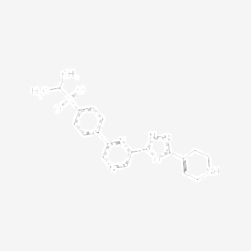 CC(C)S(=O)(=O)c1ccc(-c2cncc(-c3nnc(C4=CCNCC4)o3)n2)cc1